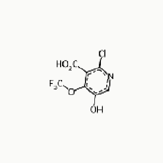 O=C(O)c1c(Cl)ncc(O)c1OC(F)(F)F